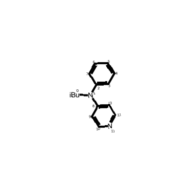 CCC(C)N(c1ccccc1)c1ccncc1